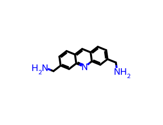 NCc1ccc2cc3ccc(CN)cc3nc2c1